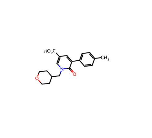 Cc1ccc(-c2cc(C(=O)O)cn(CC3CCOCC3)c2=O)cc1